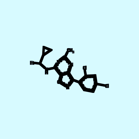 CCC(Nc1nc(C)nc2c(-c3ccc(Cl)cc3Cl)noc12)C1CC1